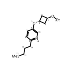 CCO[C@H]1C[C@H](Oc2ccc(CCCSC)nc2)C1